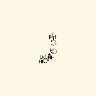 O=C1NCC[C@]12CC[C@H](c1cccc(-c3ccc(C(F)(F)F)cc3)n1)N2